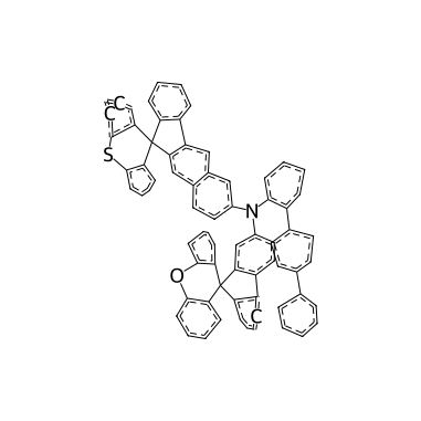 c1ccc(-c2ccc(-c3ccccc3N(c3ccc4c(c3)C3(c5ccccc5Oc5ccccc53)c3ccccc3-4)c3ccc4cc5c(cc4c3)-c3ccccc3C53c4ccccc4Sc4ccccc43)cc2)cc1